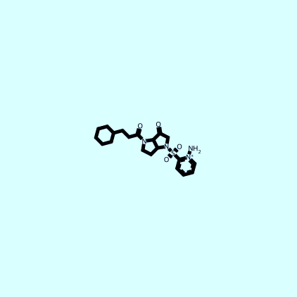 N[n+]1ccccc1S(=O)(=O)N1CC(=O)C2C1CCN2C(=O)[CH]CC1CCCCC1